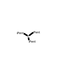 CCCC(C)P(C(C)CCC)C(C)CCC